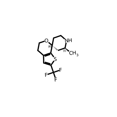 C[C@H]1C[C@@]2(CCN1)OCCc1cc(C(F)(F)F)sc12